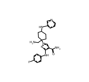 NCC1(n2cc(C(N)=O)c(Nc3ccc(F)cc3)n2)CCC(Nc2cccnc2)CC1